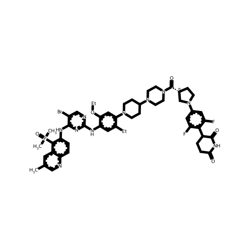 CCOc1cc(N2CCC(N3CCN(C(=O)[C@@H]4CCN(c5cc(F)c(C6CCC(=O)NC6=O)c(F)c5)C4)CC3)CC2)c(CC)cc1Nc1ncc(Br)c(Nc2ccc3ncc(C)cc3c2P(C)(C)=O)n1